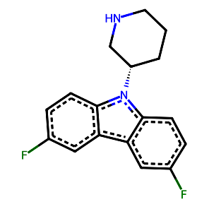 Fc1ccc2c(c1)c1cc(F)ccc1n2[C@H]1CCCNC1